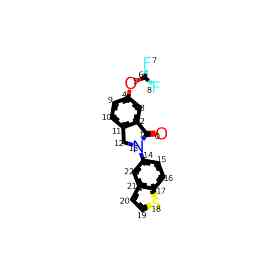 O=C1c2cc(OC(F)F)ccc2CN1c1ccc2sccc2c1